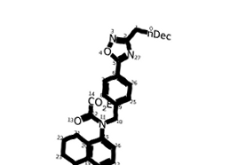 CCCCCCCCCCCc1noc(-c2ccc(CN(C(=O)C(=O)OCC)c3cccc4c3CCCC4)cc2)n1